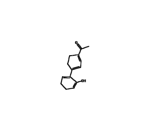 CC(=O)C1=CC=C(C2=CCCC=C2O)CC1